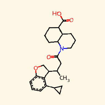 CC(CC(=O)N1CCCC2C(C(=O)O)CCCC21)C1COc2cccc(C3CC3)c21